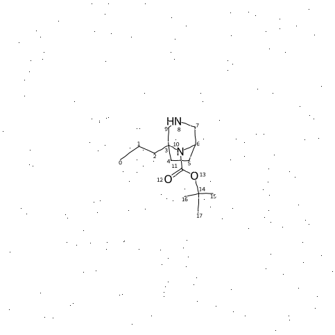 CCCC12CCC(CNC1)N2C(=O)OC(C)(C)C